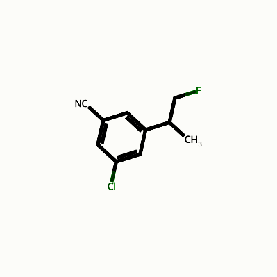 C[C](CF)c1cc(Cl)cc(C#N)c1